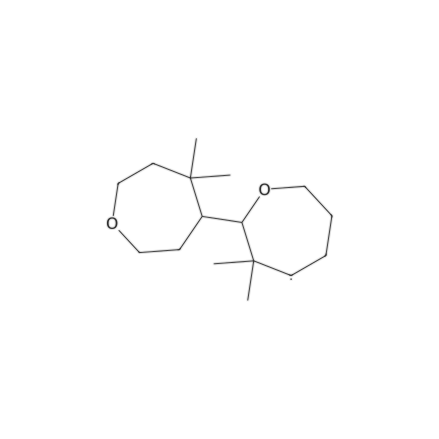 CC1(C)[CH]CCCOC1C1CCOCCC1(C)C